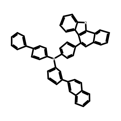 c1ccc(-c2ccc(N(c3ccc(-c4cc5ccccc5c5oc6ccccc6c45)cc3)c3cccc(-c4ccc5ccccc5c4)c3)cc2)cc1